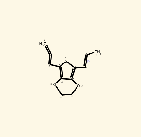 C=C=Cc1sc(/C=C/C)c2c1OCCO2